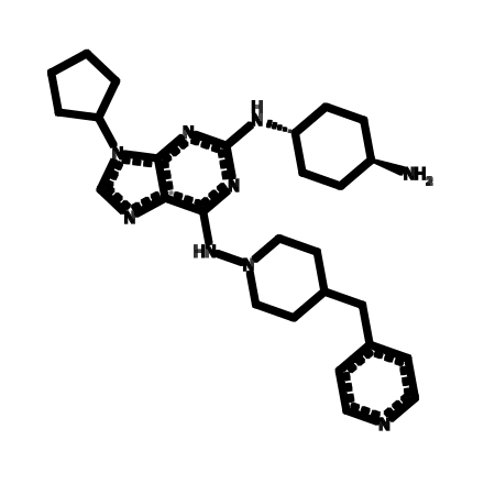 N[C@H]1CC[C@H](Nc2nc(NN3CCC(Cc4ccncc4)CC3)c3ncn(C4CCCC4)c3n2)CC1